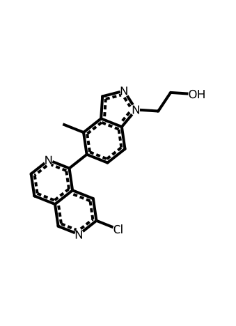 Cc1c(-c2nccc3cnc(Cl)cc23)ccc2c1cnn2CCO